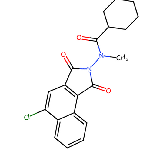 CN(C(=O)C1CCCCC1)N1C(=O)c2cc(Cl)c3ccccc3c2C1=O